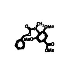 COC(=O)c1cc(OC)c(N(C)C(=O)OCc2ccccc2)c(OC)c1